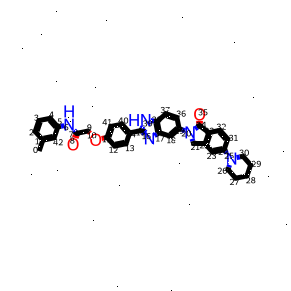 Cc1cccc(NC(=O)COc2ccc(-c3nc4cc(N5Cc6cc(N7CCCCC7)ccc6C5=O)ccc4[nH]3)cc2)c1